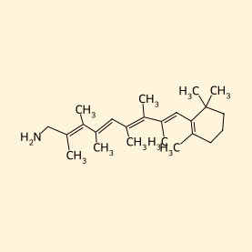 CC1=C(/C=C(C)/C(C)=C(C)/C=C(C)/C(C)=C(\C)CN)C(C)(C)CCC1